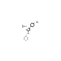 Cc1c(C(=O)NC2CCCCC2)cc(-c2ccc(OC(F)(F)F)cc2)n1CC1CC1